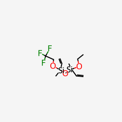 C=C[Si](C)(OCC)O[Si](C)(C=C)OCC(F)(F)F